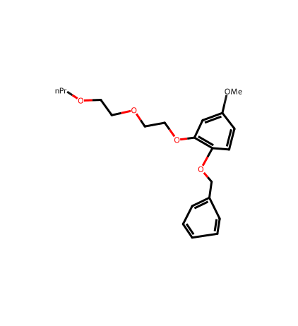 CCCOCCOCCOc1cc(OC)ccc1OCc1ccccc1